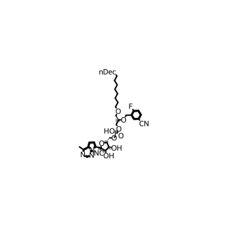 CCCCCCCCCCCCCCCCCCOC[C@H](COP(=O)(O)OC[C@H]1O[C@@](C#N)(c2ccc3c(C)ncnn23)[C@H](O)[C@@H]1O)OCc1cc(C#N)ccc1F